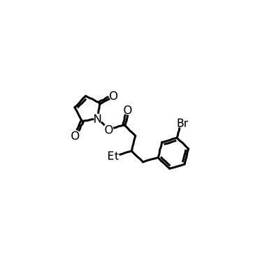 CCC(CC(=O)ON1C(=O)C=CC1=O)Cc1cccc(Br)c1